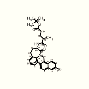 COc1ccc2cc(Br)ccc2c1CN1C(=O)[C@@H](NC(=O)C(C)CNC(=O)OC(C)(C)C)CCc2ccccc21